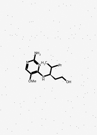 COc1cnc(N)nc1N[C@H](CCO)C(C)C(C)C